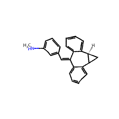 CNc1cccc(/C=C2/c3ccccc3C3C[C@@H]3c3ccccc32)c1